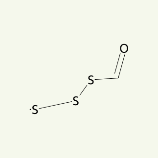 O=CSS[S]